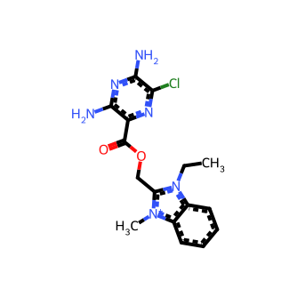 CCn1c(COC(=O)c2nc(Cl)c(N)nc2N)[n+](C)c2ccccc21